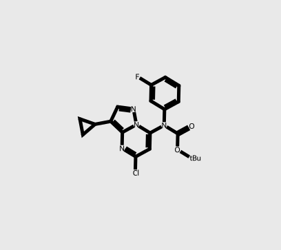 CC(C)(C)OC(=O)N(c1cccc(F)c1)c1cc(Cl)nc2c(C3CC3)cnn12